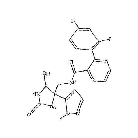 Cn1nccc1C1(CNC(=O)c2ccccc2-c2ccc(Cl)cc2F)NC(=O)NC1O